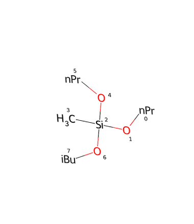 CCCO[Si](C)(OCCC)OC(C)CC